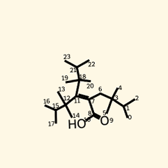 CC(C)C(C)(C)CC(C(=O)O)=C(C(C)(C)C(C)C)C(C)(C)C(C)C